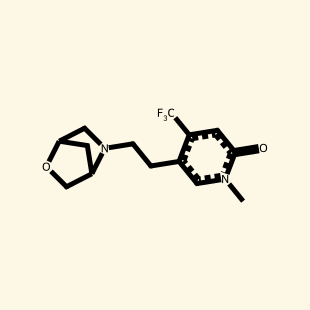 Cn1cc(CCN2CC3CC2CO3)c(C(F)(F)F)cc1=O